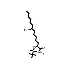 CCCCCCC(N)CCCCCC(O[Si](C)(C)C(C)(C)C)C(N)=O